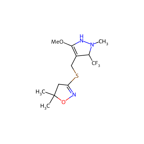 COC1=C(CSC2=NOC(C)(C)C2)C(C(F)(F)F)N(C)N1